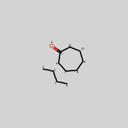 CCCC.O=C1CCCCCC1